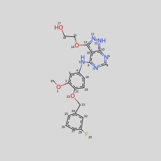 COc1cc(Nc2ncnc3[nH]nc(OCCO)c23)ccc1OCc1cccc(F)c1